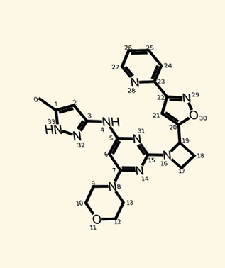 Cc1cc(Nc2cc(N3CCOCC3)nc(N3CCC3c3cc(-c4ccccn4)no3)n2)n[nH]1